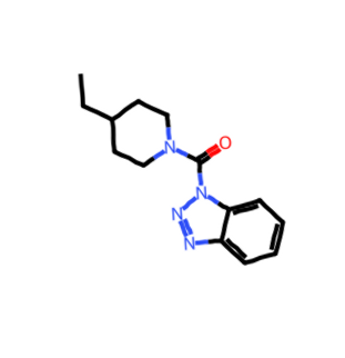 CCC1CCN(C(=O)n2nnc3ccccc32)CC1